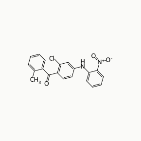 Cc1ccccc1C(=O)c1ccc(Nc2ccccc2[N+](=O)[O-])cc1Cl